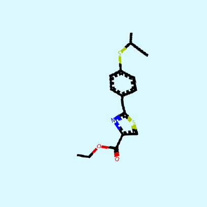 CCOC(=O)c1csc(-c2ccc(SC(C)C)cc2)n1